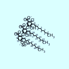 CCCCCCCCCCc1c(O)ccc(C(=O)[O-])c1Cl.CCCCCCCCCCc1c(O)ccc(C(=O)[O-])c1Cl.CCCCCCCCCCc1c(O)ccc(C(=O)[O-])c1Cl.[Sb+3]